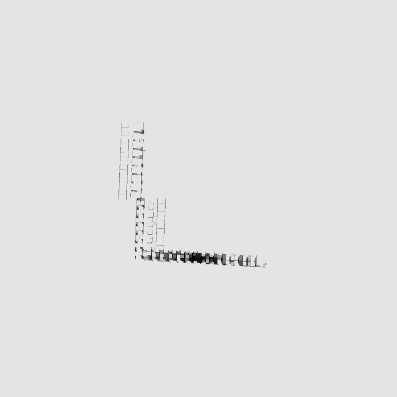 Cl.Cl.Cl.Cl.Cl.Cl.Cl.Cl.Cl.Cl.Cl.Cl.Cl.Cl.Cl.Cl.Cl.[NaH].[NaH].[NaH].[NaH].[NaH].[NaH].[NaH].[NaH].[NaH].[NaH].[NaH].[NaH].[NaH].[NaH]